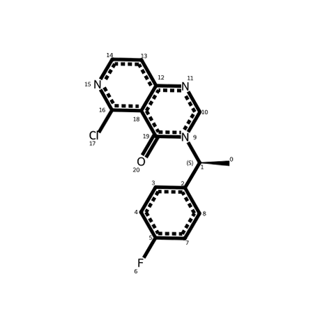 C[C@@H](c1ccc(F)cc1)n1cnc2ccnc(Cl)c2c1=O